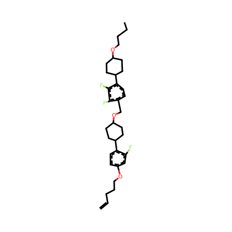 C=CCCCOc1ccc(C2CCC(OCc3ccc(C4CCC(OCCCC)CC4)c(F)c3F)CC2)c(F)c1